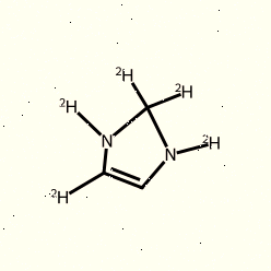 [2H]C1=CN([2H])C([2H])([2H])N1[2H]